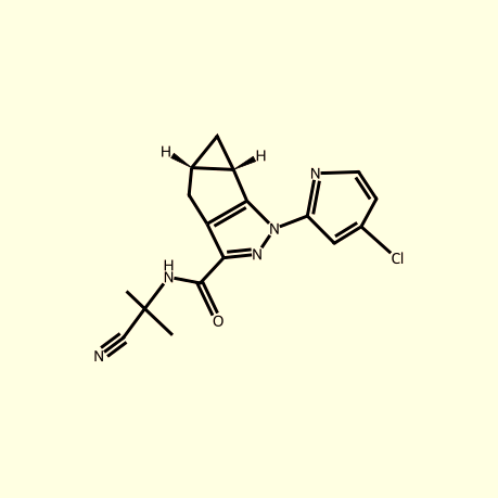 CC(C)(C#N)NC(=O)c1nn(-c2cc(Cl)ccn2)c2c1C[C@@H]1C[C@H]21